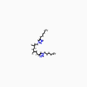 CC(C)CCCCc1cn(CCC(C)CCC(C)CCc2cn(CCCCC(C)C)nn2)nn1